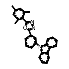 Cc1cc(C)c(-c2nnc(-c3cccc(-n4c5ccccc5c5ccccc54)c3)o2)c(C)c1